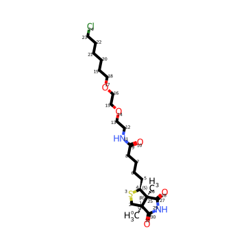 C[C@]12CS[C@@H](CCCCC(=O)NCCOCCOCCCCCCCl)[C@@]1(C)C(=O)NC2=O